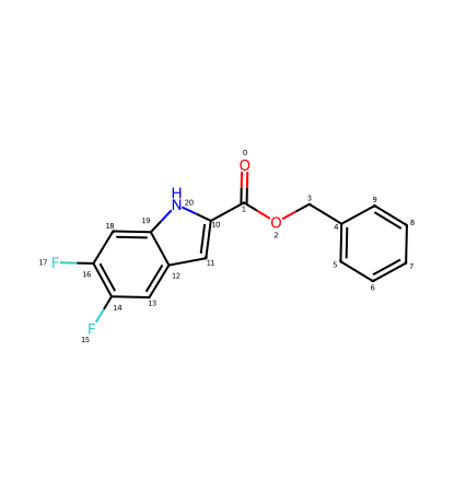 O=C(OCc1ccccc1)c1cc2cc(F)c(F)cc2[nH]1